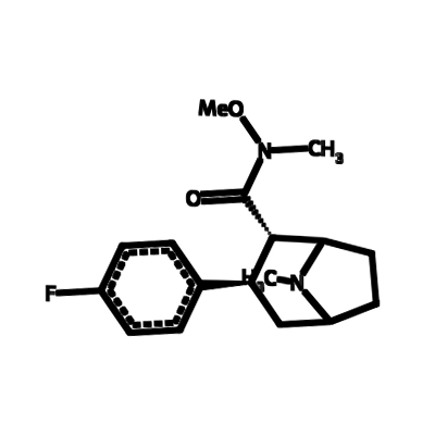 CON(C)C(=O)[C@@H]1C2CCC(C[C@H]1c1ccc(F)cc1)N2C